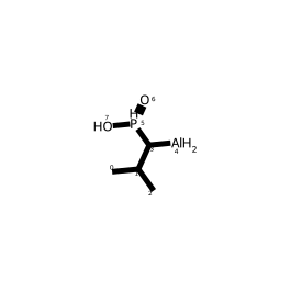 CC(C)[CH]([AlH2])[PH](=O)O